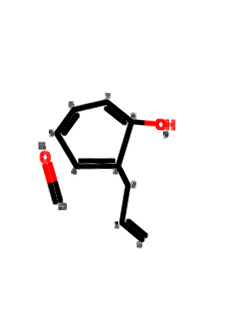 C=CCc1ccccc1O.C=O